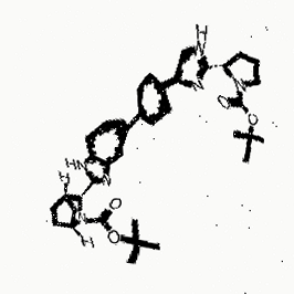 CC(C)(C)OC(=O)N1CCC[C@H]1c1nc(-c2ccc(-c3ccc4[nH]c([C@@H]5[C@H]6CC[C@H](C6)N5C(=O)OC(C)(C)C)nc4c3)cc2)c[nH]1